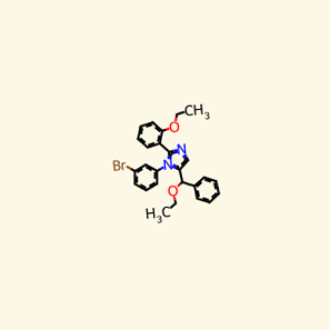 CCOc1ccccc1-c1ncc(C(OCC)c2ccccc2)n1-c1cccc(Br)c1